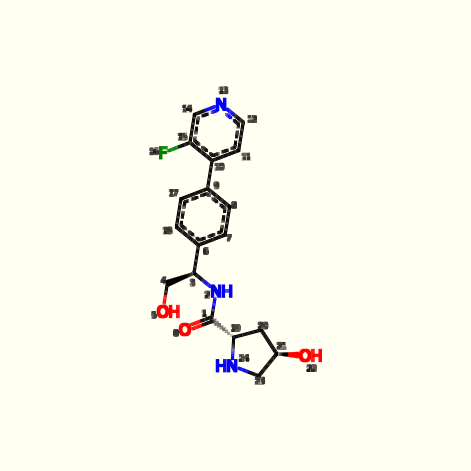 O=C(N[C@@H](CO)c1ccc(-c2ccncc2F)cc1)[C@@H]1C[C@@H](O)CN1